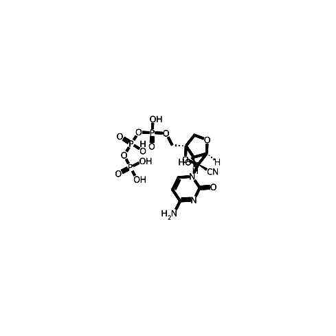 N#C[C@@]1(n2ccc(N)nc2=O)O[C@@]2(COP(=O)(O)OP(=O)(O)OP(=O)(O)O)CO[C@@H]1[C@@H]2O